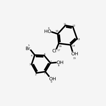 Oc1ccc(Br)cc1O.Oc1cccc(O)c1Cl